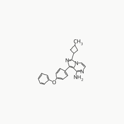 CC1CC(c2nc(-c3ccc(Oc4ccccc4)cc3)c3c(N)nccn23)C1